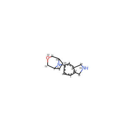 c1cc2c(cc1N1C3CCC1COC3)CNC2